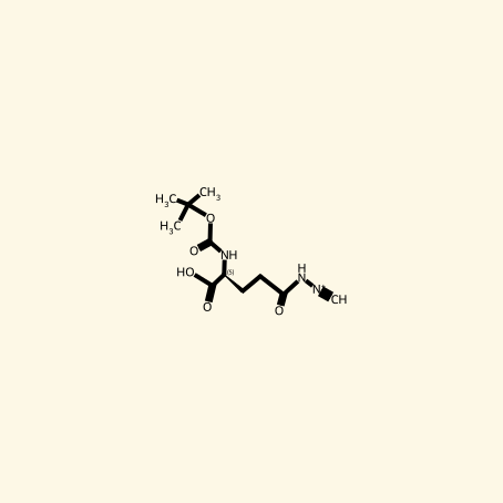 C#[N+]NC(=O)CC[C@H](NC(=O)OC(C)(C)C)C(=O)O